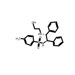 Cc1ccc(S(=O)(=O)N[C@H](c2ccccc2)[C@H](NCCO)c2ccccc2)cc1